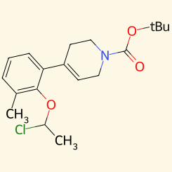 Cc1cccc(C2=CCN(C(=O)OC(C)(C)C)CC2)c1OC(C)Cl